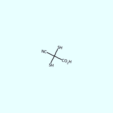 N#CC(S)(S)C(=O)O